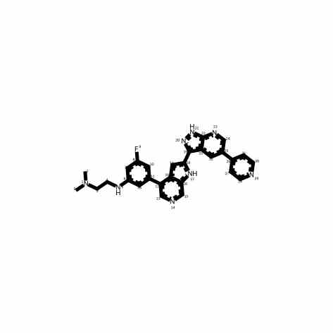 CN(C)CCNc1cc(F)cc(-c2cncc3[nH]c(-c4n[nH]c5ncc(-c6ccncc6)cc45)cc23)c1